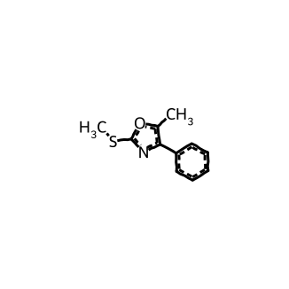 CSc1nc(-c2ccccc2)c(C)o1